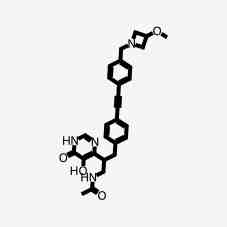 COC1CN(Cc2ccc(C#Cc3ccc(CC(CNC(C)=O)c4nc[nH]c(=O)c4O)cc3)cc2)C1